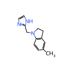 Cc1ccc2c(c1)CCN2Cc1ncc[nH]1